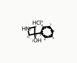 Cl.OC1(c2ccccc2)CNC1